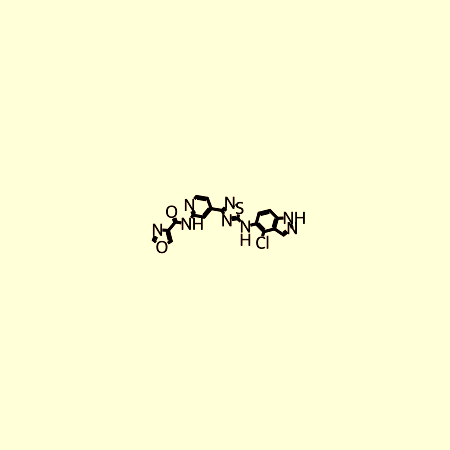 O=C(Nc1cc(-c2nsc(Nc3ccc4[nH]ncc4c3Cl)n2)ccn1)c1cocn1